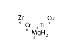 [Cr].[Cu].[MgH2].[Ti].[Zr]